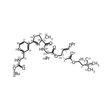 CCC/C=C/[C@H](CC(=O)OCC[Si](C)(C)C)OC(=O)[C@@H](NC(=O)[C@]1(C)CSC(c2ccnc(CNC(=O)OC(C)(C)C)c2)=N1)C(C)C